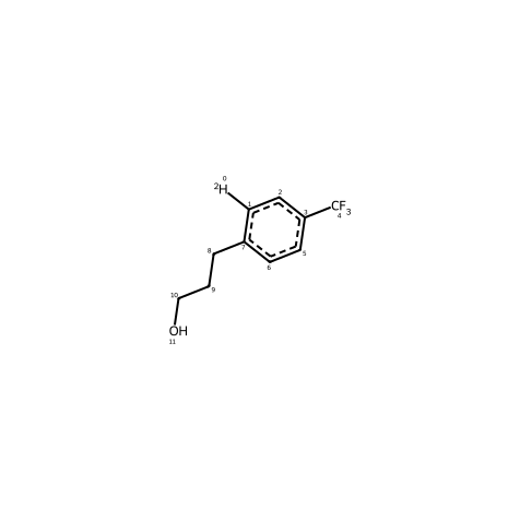 [2H]c1cc(C(F)(F)F)ccc1CCCO